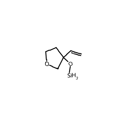 C=CC1(O[SiH3])CCOC1